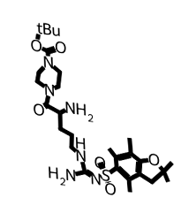 Cc1c(C)c(S(=O)(=O)N=C(N)NCCCC(N)C(=O)N2CCN(C(=O)OC(C)(C)C)CC2)c(C)c2c1OC(C)(C)C2